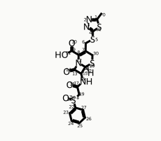 Cc1nnc(SCC2=C(C(=O)O)N3C(=O)C(NC(=O)C[S+]([O-])c4ccccc4)[C@@H]3SC2)s1